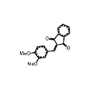 COc1ccc(C=C2C(=O)c3ccccc3C2=O)cc1OC